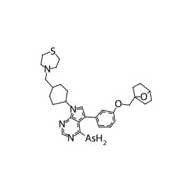 [AsH2]c1ncnc2c1c(-c1cccc(OCC34CCC(CC3)O4)c1)cn2C1CCC(CN2CCSCC2)CC1